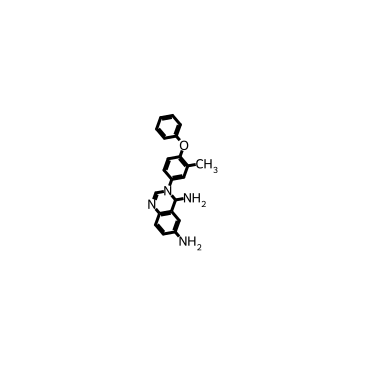 Cc1cc(N2C=Nc3ccc(N)cc3C2N)ccc1Oc1ccccc1